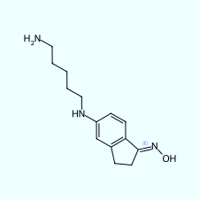 NCCCCCNc1ccc2c(c1)CC/C2=N\O